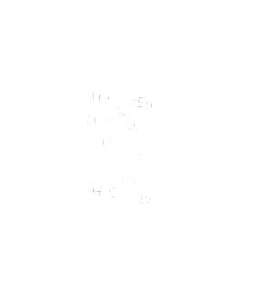 Cc1c(Br)ccc2c1COC2O[Si](C)(C)C(C)(C)C